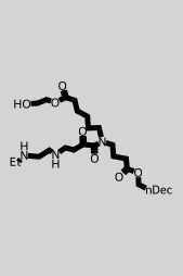 CCCCCCCCCCCOC(=O)CCCN(CCCCCC(=O)OCCO)C(=O)C(=O)CCNCCNCC